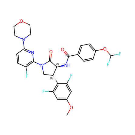 COc1cc(F)c([C@@H]2CN(c3nc(N4CCOCC4)ccc3F)C(=O)[C@H]2NC(=O)c2ccc(OC(F)F)cc2)c(F)c1